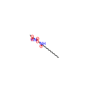 CCCCCCCCCCCCCCCC(=O)NCCOC(=O)NCC(=O)OCC